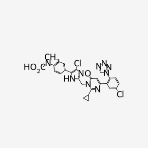 CN(C(=O)O)c1ccc(-c2[nH]c(Cn3c(C4CC4)nc(-c4cc(Cl)ccc4-n4cnnn4)cc3=O)nc2Cl)cc1